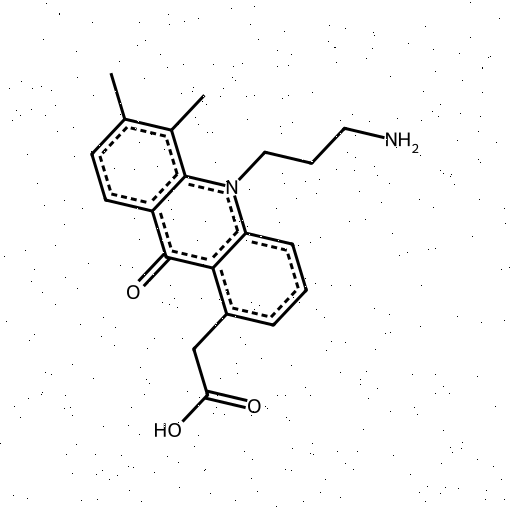 Cc1ccc2c(=O)c3c(CC(=O)O)cccc3n(CCCN)c2c1C